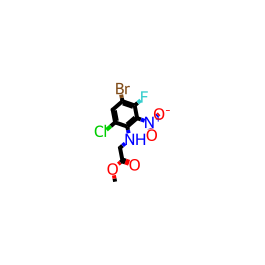 COC(=O)CNc1c(Cl)cc(Br)c(F)c1[N+](=O)[O-]